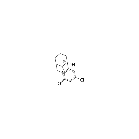 CC1C2CCC[C@H]1c1cc(Cl)cc(=O)n1C2